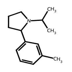 Cc1cccc(C2CCCN2C(C)C)c1